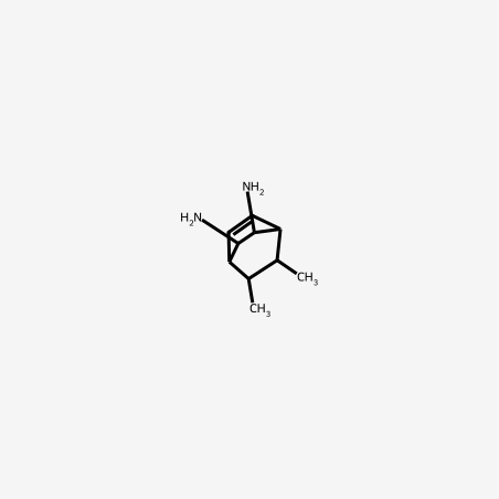 CC1C(C)C2C=CC1C(N)C2N